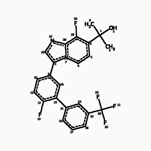 CC(C)(O)c1ccn2c(-c3ccc(F)c(-c4cccc(C(F)(F)F)c4)c3)cnc2c1F